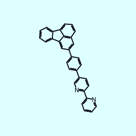 c1ccc(-c2ccc(-c3ccc(-c4cc5c6c(cccc6c4)-c4ccccc4-5)cc3)cn2)nc1